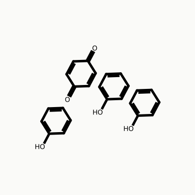 O=C1C=CC(=O)C=C1.Oc1ccccc1.Oc1ccccc1.Oc1ccccc1